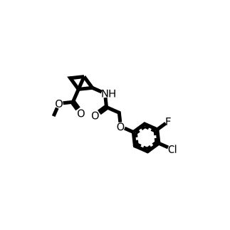 COC(=O)C12CC1C2NC(=O)COc1ccc(Cl)c(F)c1